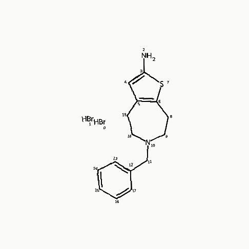 Br.Br.Nc1cc2c(s1)CCN(Cc1ccccc1)CC2